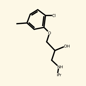 Cc1ccc(Cl)c(OCC(O)CNC(C)C)c1